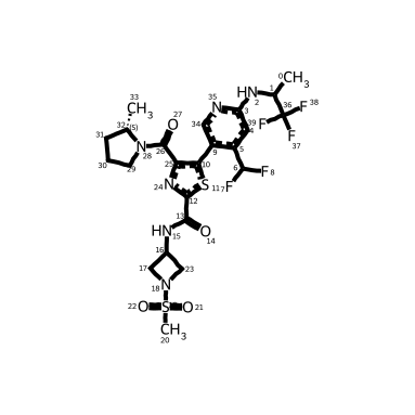 CC(Nc1cc(C(F)F)c(-c2sc(C(=O)NC3CN(S(C)(=O)=O)C3)nc2C(=O)N2CCC[C@@H]2C)cn1)C(F)(F)F